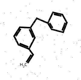 C=Cc1cccc([CH]c2ccccc2)c1